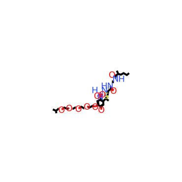 CCCCC(C)C(=O)NCCNC(=O)C(N)CSC(C)c1cc(OC)c(OCCOCCOCCOCCOCC(C)C)cc1[N+](=O)[O-]